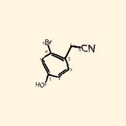 N#CCc1c[c]c(O)cc1Br